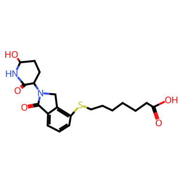 O=C(O)CCCCCCSc1cccc2c1CN(C1CCC(O)NC1=O)C2=O